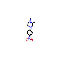 CC1CN(c2ccc([N+](=O)[O-])cc2)CCN1C